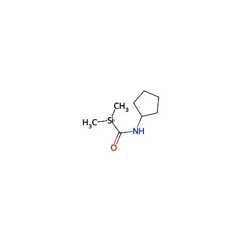 C[Si](C)C(=O)NC1CCCC1